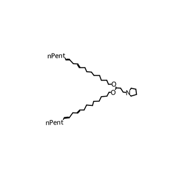 CCCCCC=CCC=CCCCCCCCCOC(CCN1CCCC1)OCCCCCCCCC=CCC=CCCCCC